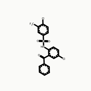 O=C(c1ccccc1)c1cc(Cl)ccc1NS(=O)(=O)c1ccc(Cl)c(C(F)(F)F)c1